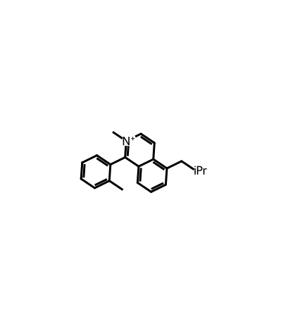 Cc1ccccc1-c1c2cccc(CC(C)C)c2cc[n+]1C